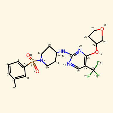 Cc1cccc(S(=O)(=O)N2CCC(Nc3ncc(C(F)(F)F)c(OC4CCOC4)n3)CC2)c1